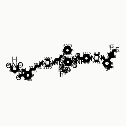 CC1(C)CCC(CN2CCN(c3ccc(C(=O)NS(=O)(=O)c4ccc(NC(CCN5CCN(CCCCCc6cccc7c6CN(C6CCC(=O)NC6=O)C7=O)CC5)CSc5ccccc5)c(S(=O)(=O)C(F)(F)F)c4)cc3)CC2)=C(C23CC(C(F)F)(C2)C3)C1